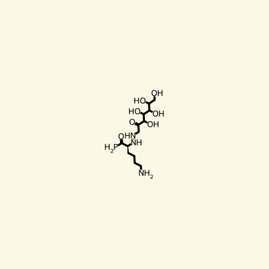 NCCCC[C@H](NNCC(=O)C(O)C(O)C(O)C(O)CO)C(=O)P